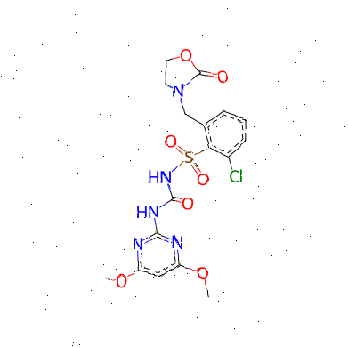 COc1cc(OC)nc(NC(=O)NS(=O)(=O)c2c(Cl)cccc2CN2CCOC2=O)n1